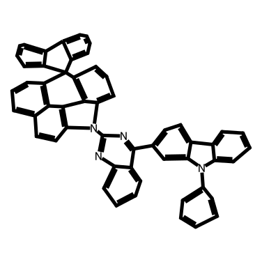 c1ccc(-n2c3ccccc3c3ccc(-c4nc(-n5c6cccc7c6c6c8c(cccc8ccc65)C75c6ccccc6-c6ccccc65)nc5ccccc45)cc32)cc1